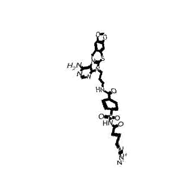 [N-]=[N+]=NCCCC(=O)NS(=O)(=O)c1ccc(C(=O)NCCCn2c(Sc3cc4c(cc3I)OCO4)nc3c(N)ncnc32)cc1